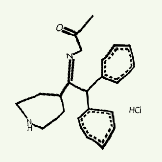 CC(=O)CN=C(C1CCNCC1)C(c1ccccc1)c1ccccc1.Cl